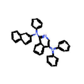 c1ccc(N(c2ccccc2)c2cnc(N(c3ccccc3)c3ccc4ccccc4c3)c3ccccc23)cc1